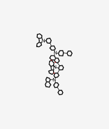 c1ccc(-c2ccc(N(c3ccc(-c4cccc(-c5ccc6c(N(c7ccc(-c8ccccc8)cc7)c7ccc(-c8cccc(-n9c%10ccccc%10c%10ccccc%109)c8)cc7)cccc6c5)c4-n4c5ccccc5c5ccccc54)cc3)c3cccc4ccccc34)cc2)cc1